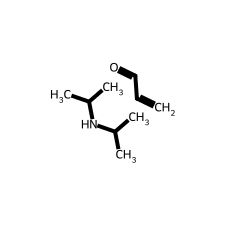 C=CC=O.CC(C)NC(C)C